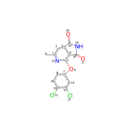 Cc1cc2c(c(Oc3ccc(Cl)c(Cl)c3)n1)C(=O)NC2=O